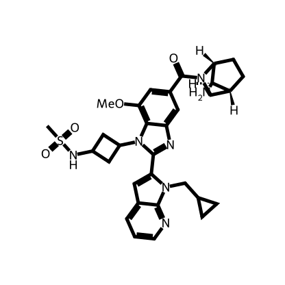 COc1cc(C(=O)N2C[C@H]3CC[C@@H]2[C@@H]3N)cc2nc(-c3cc4cccnc4n3CC3CC3)n(C3CC(NS(C)(=O)=O)C3)c12